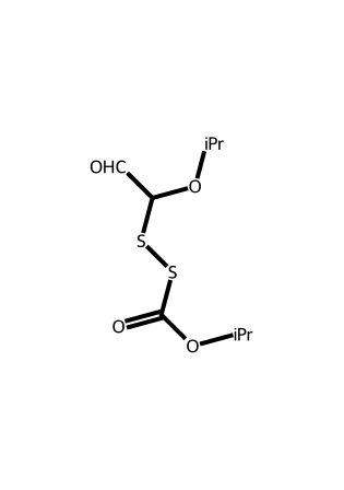 CC(C)OC(=O)SSC(C=O)OC(C)C